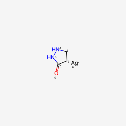 O=C1CCNN1.[Ag]